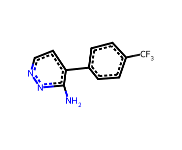 Nc1nnccc1-c1ccc(C(F)(F)F)cc1